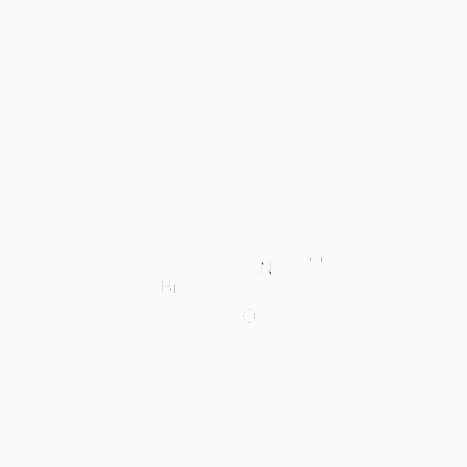 O=[N+]([O-])C1=C(Br)[CH]CC=C1